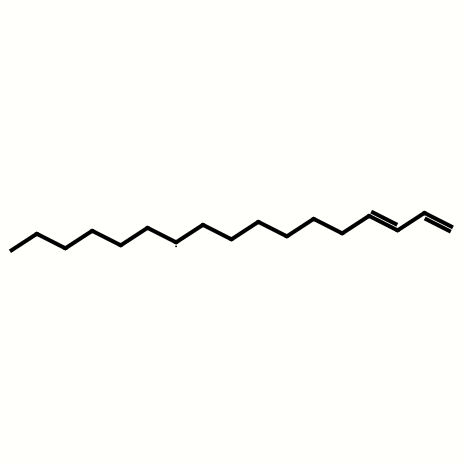 C=C/C=C/CCCCCC[CH]CCCCCC